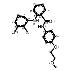 COCCOc1ccc(NC(=O)c2ccccc2Nc2cccc(Cl)c2C)cc1